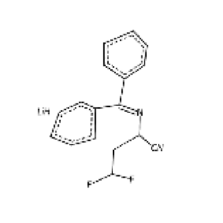 N#CC(CC(F)F)N=C(c1ccccc1)c1ccccc1.[LiH]